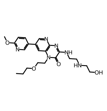 CCCOCCn1c(=O)c(NCCNCCO)nc2ncc(-c3ccc(OC)nc3)cc21